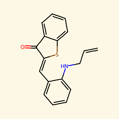 C=CCNc1ccccc1C=C1Sc2ccccc2C1=O